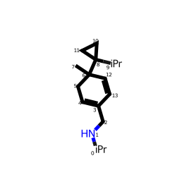 CC(C)NCC1=CCC(C)(C2(C(C)C)CC2)C=C1